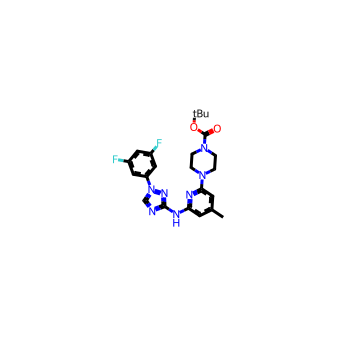 Cc1cc(Nc2ncn(-c3cc(F)cc(F)c3)n2)nc(N2CCN(C(=O)OC(C)(C)C)CC2)c1